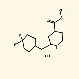 COC(=O)C1CCNC(CC2CCC(F)(F)CC2)C1.Cl